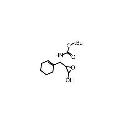 CC(C)(C)OC(=O)N[C@@H](C1=CCCCC1)C1OC1O